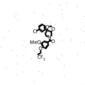 COc1cc(C(=O)N2CCC3(c4cccc(Cl)c4)OCOC3C2)ccc1OCCC(F)(F)F